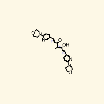 C/C(C(=O)/C=C/c1ccc(N2CCOCC2)nc1)=C(O)\C=C\c1ccc(N2CCOCC2)nc1